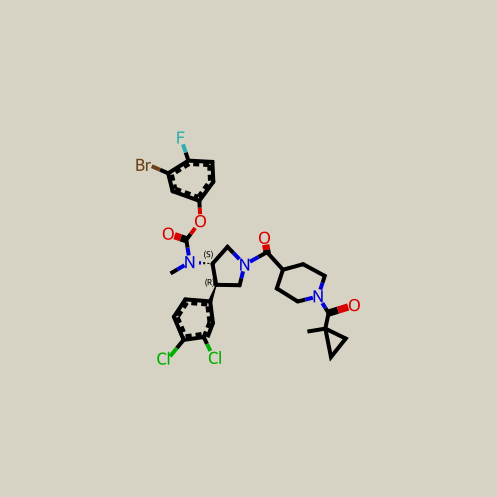 CN(C(=O)Oc1ccc(F)c(Br)c1)[C@@H]1CN(C(=O)C2CCN(C(=O)C3(C)CC3)CC2)C[C@H]1c1ccc(Cl)c(Cl)c1